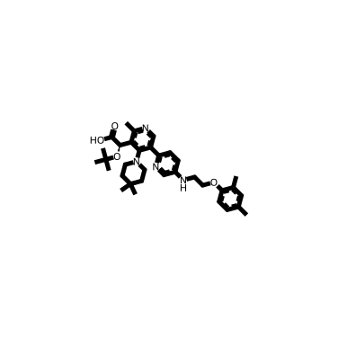 Cc1ccc(OCCNc2ccc(-c3cnc(C)c([C@H](OC(C)(C)C)C(=O)O)c3N3CCC(C)(C)CC3)nc2)c(C)c1